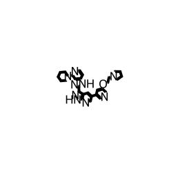 c1cc2[nH]c(-c3n[nH]c4ncc(-c5cncc(OCCN6CCCC6)c5)cc34)nc2c(N2CCCCC2)n1